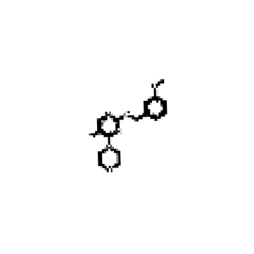 COc1cccc(COc2ncc(F)c(N3CCOCC3)n2)c1